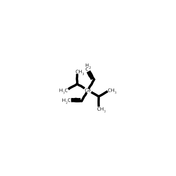 C=[CH][Ge]([CH]=C)([CH](C)C)[CH](C)C